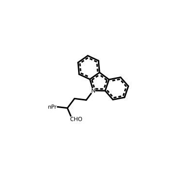 CCCC(C=O)CCn1c2ccccc2c2ccccc21